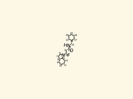 O=C(/C=C(\F)n1ccc2ccccc21)NCc1ccccc1